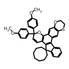 COc1ccc(C2(c3ccc(OC)cc3)C=Cc3c4c(c5cc6c(cc5c3O2)OCCS6)-c2ccccc2C42CCCCCCC2)cc1